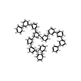 c1ccc(-c2cccc(-c3cccc(-c4cccc(-c5cccc(-c6cc(-c7cccc(-c8cccc(-c9ccccc9)c8)c7)nc(-c7cccc(-c8cccc(-n9c%10ccccc%10c%10ccccc%109)c8)c7)n6)c5)c4)c3)c2)cc1